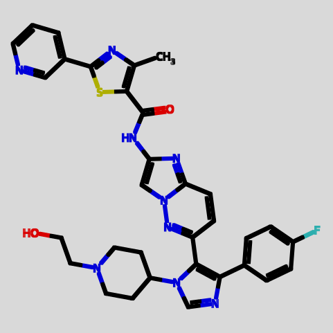 Cc1nc(-c2cccnc2)sc1C(=O)Nc1cn2nc(-c3c(-c4ccc(F)cc4)ncn3C3CCN(CCO)CC3)ccc2n1